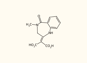 CN1CC(=C(C(=O)O)C(=O)O)Nc2ccccc2C1=O